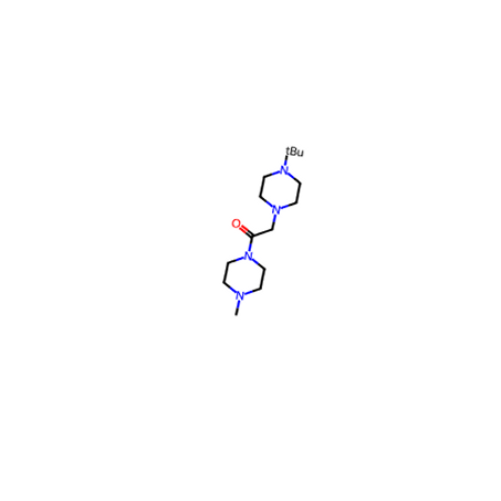 CN1CCN(C(=O)CN2CCN(C(C)(C)C)CC2)CC1